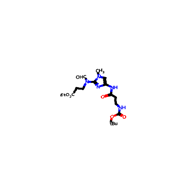 CCOC(=O)CCN(C=O)c1nc(NC(=O)CCNC(=O)OC(C)(C)C)cn1C